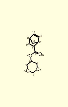 O=C(OC1COCOC1)C1CC2C=CC1C2